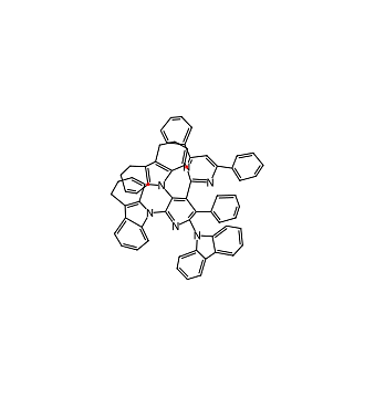 C1=Cc2c(c3c(n2-c2c(-n4c5c(c6ccccc64)CCC=C5)nc(-n4c5ccccc5c5ccccc54)c(-c4ccccc4)c2-c2nc(-c4ccccc4)cc(-c4ccccc4)n2)C=CCC3)CC1